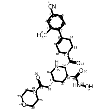 Cc1cc(C#N)ccc1C1=CCN(C(=O)[C@H]2NC[C@@H](CC(=O)N3CCOCC3)C[C@@H]2C(=O)NO)CC1